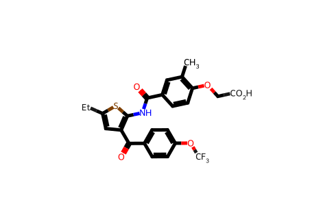 CCc1cc(C(=O)c2ccc(OC(F)(F)F)cc2)c(NC(=O)c2ccc(OCC(=O)O)c(C)c2)s1